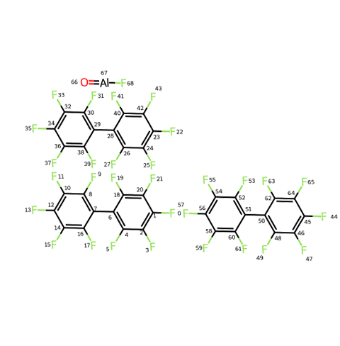 Fc1c(F)c(F)c(-c2c(F)c(F)c(F)c(F)c2F)c(F)c1F.Fc1c(F)c(F)c(-c2c(F)c(F)c(F)c(F)c2F)c(F)c1F.Fc1c(F)c(F)c(-c2c(F)c(F)c(F)c(F)c2F)c(F)c1F.[O]=[Al][F]